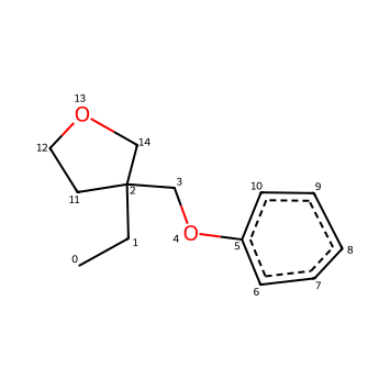 CCC1(COc2ccccc2)CCOC1